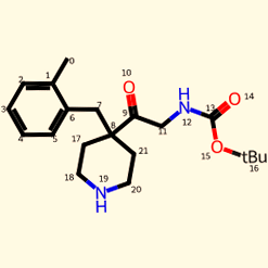 Cc1ccccc1CC1(C(=O)CNC(=O)OC(C)(C)C)CCNCC1